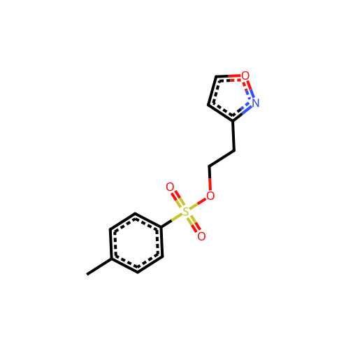 Cc1ccc(S(=O)(=O)OCCc2ccon2)cc1